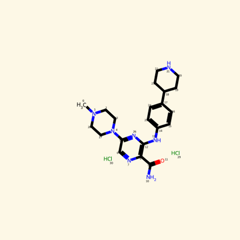 CN1CCN(c2cnc(C(N)=O)c(Nc3ccc(C4CCNCC4)cc3)n2)CC1.Cl.Cl